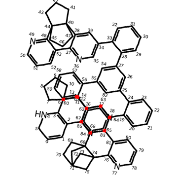 C1=CC2=C(NC1)C1(CCCC1)C1(CCCC1)c1cc(-c3ccccc3-c3cc(-c4ccccc4-c4cnc5c(c4)C46CCCC4(CCC6)c4ncccc4-5)cc(-c4ccccc4-c4cnc5c(c4)C46CCC7(C4)CC6(C7)c4ncccc4-5)c3)cnc12